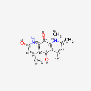 C=C1C=C(CC)C2=C(C(=O)c3[nH]c(=O)cc(C)c3C2=O)N1C